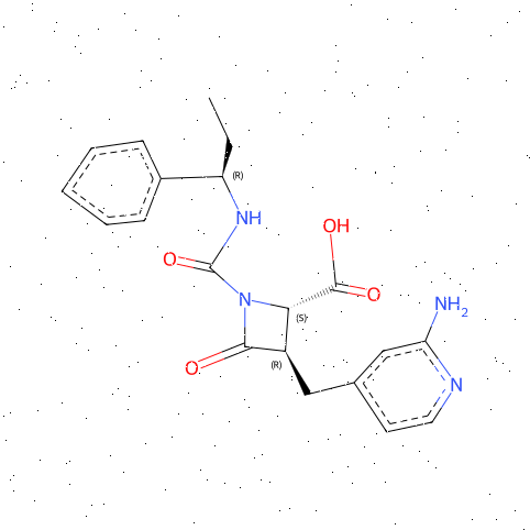 CC[C@@H](NC(=O)N1C(=O)[C@H](Cc2ccnc(N)c2)[C@H]1C(=O)O)c1ccccc1